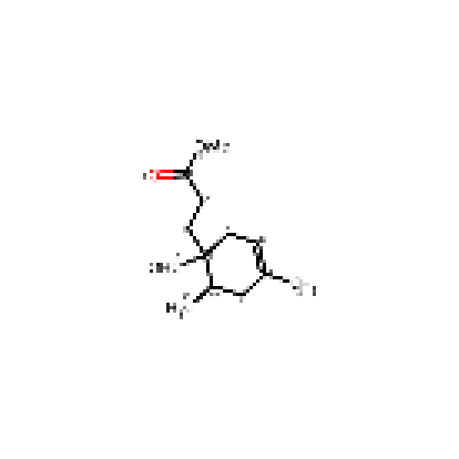 COC(=O)CCC1(C=O)CC=C(C)CC1C